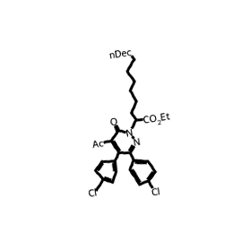 CCCCCCCCCCCCCCCCC(C(=O)OCC)n1nc(-c2ccc(Cl)cc2)c(-c2ccc(Cl)cc2)c(C(C)=O)c1=O